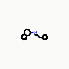 c1ccc(CCCNC2CCCc3ccccc3C2)cc1